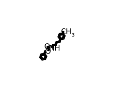 Cc1ccc(CCCCNC(=O)OCc2ccccc2)cc1